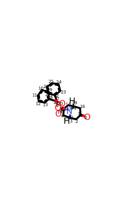 O=C1C[C@@H]2C[C@@H](OCc3ccccc3)C[C@H](C1)N2C(=O)OCc1ccccc1